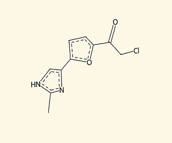 Cc1nc(-c2ccc(C(=O)CCl)o2)c[nH]1